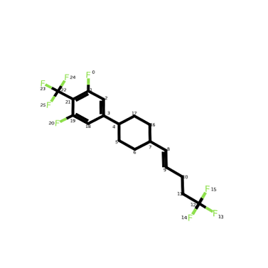 Fc1cc(C2CCC(/C=C/CCC(F)(F)F)CC2)cc(F)c1C(F)(F)F